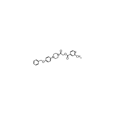 Cc1cc(C(=O)OCC(=O)N2CCN(c3ccc(OCc4ccccc4)cc3)CC2)ccn1